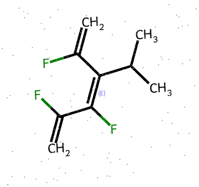 C=C(F)/C(F)=C(\C(=C)F)C(C)C